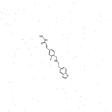 O=C(/C=C/c1ccc(CNCCc2ccc3occc3c2)c(F)c1)NO